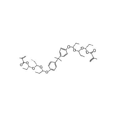 C=C(C)C(=O)OC(CC)OC(CC)OC(CC)Oc1ccc(C(C)(C)c2ccc(OC(CC)OC(CC)OC(CC)OC(=O)C(=C)C)cc2)cc1